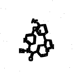 CCN(C(=O)c1ccn2ncc(-c3ccc(C(C)=O)cc3)c2c1)c1ccc(C(F)(F)F)cn1